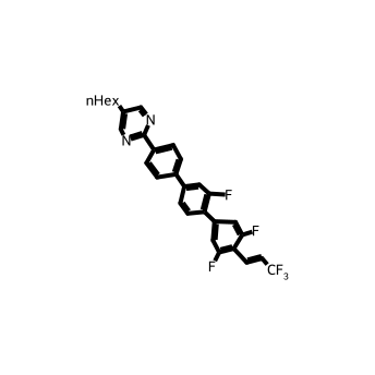 CCCCCCc1cnc(-c2ccc(-c3ccc(-c4cc(F)c(/C=C/C(F)(F)F)c(F)c4)c(F)c3)cc2)nc1